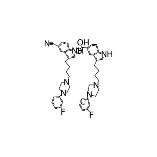 N#Cc1ccc2[nH]cc(CCCCN3CCN(c4cccc(F)c4)CC3)c2c1.O=C(O)c1ccc2[nH]cc(CCCCN3CCN(c4cccc(F)c4)CC3)c2c1